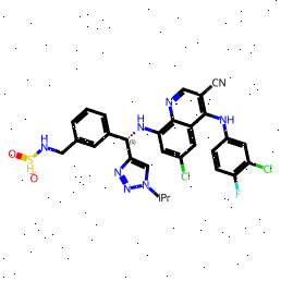 CC(C)n1cc([C@@H](Nc2cc(Cl)cc3c(Nc4ccc(F)c(Cl)c4)c(C#N)cnc23)c2cccc(CN[SH](=O)=O)c2)nn1